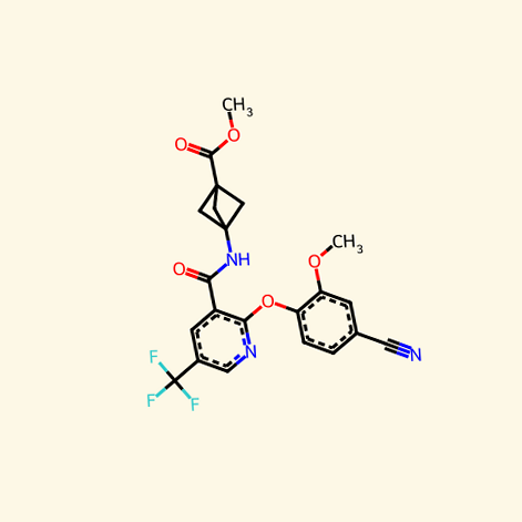 COC(=O)C12CC(NC(=O)c3cc(C(F)(F)F)cnc3Oc3ccc(C#N)cc3OC)(C1)C2